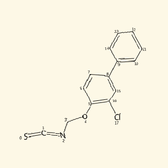 S=C=NCOc1ccc(-c2ccccc2)cc1Cl